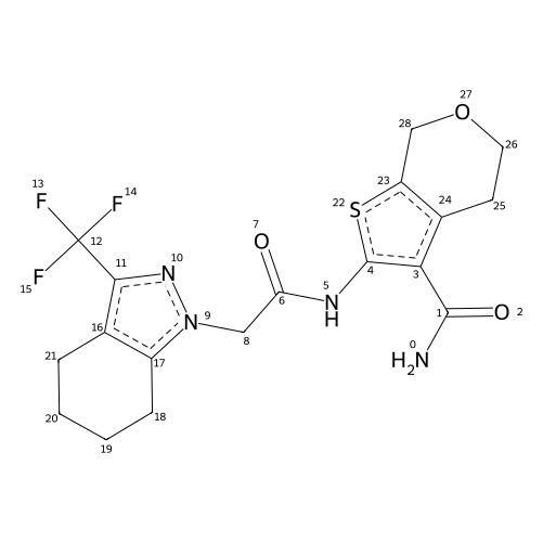 NC(=O)c1c(NC(=O)Cn2nc(C(F)(F)F)c3c2CCCC3)sc2c1CCOC2